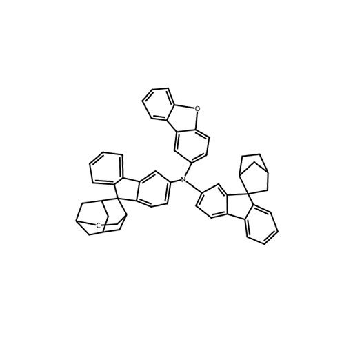 c1ccc2c(c1)-c1ccc(N(c3ccc4c(c3)-c3ccccc3C43C4CCC5CC(C4)CC3C5)c3ccc4oc5ccccc5c4c3)cc1C21CC2CCC1C2